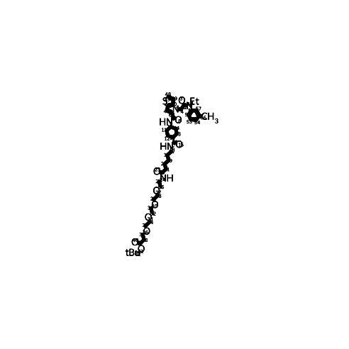 CCN(C(=O)Cn1c(C(=O)N[C@H]2CC[C@H](C(=O)NCCCCCC(=O)NCCOCCOCCOCCOCCC(=O)OC(C)(C)C)CC2)cc2sccc21)c1cccc(C)c1